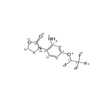 Nc1cc(OC(F)C(F)(F)F)ccc1N1CCOC1=O